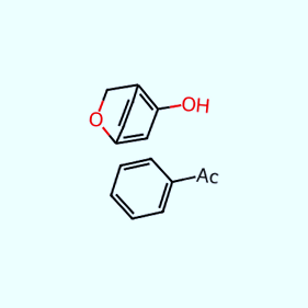 CC(=O)c1ccccc1.Oc1cc2ccc1CO2